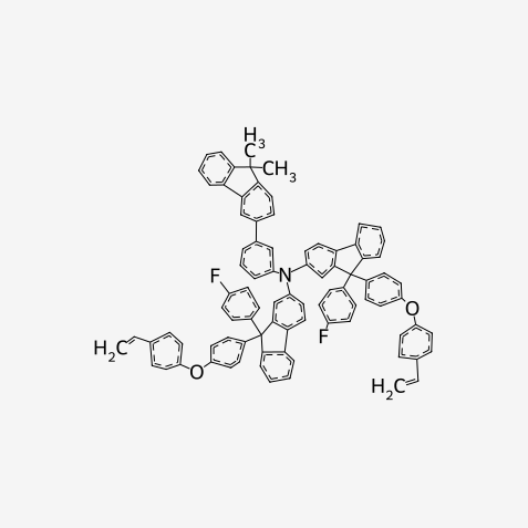 C=Cc1ccc(Oc2ccc(C3(c4ccc(F)cc4)c4ccccc4-c4ccc(N(c5cccc(-c6ccc7c(c6)-c6ccccc6C7(C)C)c5)c5ccc6c(c5)C(c5ccc(F)cc5)(c5ccc(Oc7ccc(C=C)cc7)cc5)c5ccccc5-6)cc43)cc2)cc1